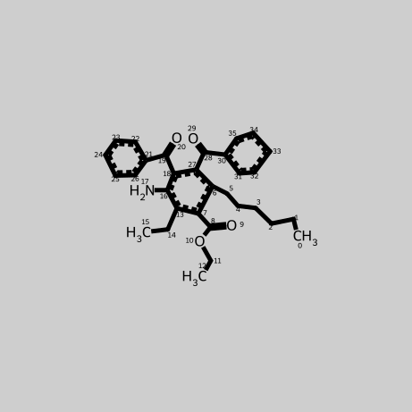 CCCCCCc1c(C(=O)OCC)c(CC)c(N)c(C(=O)c2ccccc2)c1C(=O)c1ccccc1